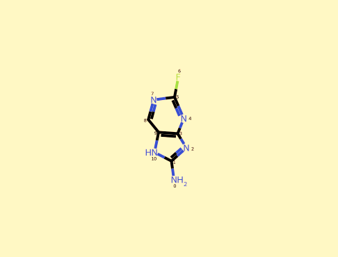 Nc1nc2nc(F)ncc2[nH]1